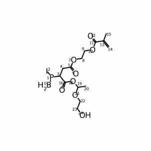 BP(I)C(CC(=O)OCCOC(=O)C(=C)C)C(=O)OC(C)OCCO